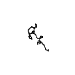 O=C(CCN1C(=O)CCC1=O)NCCI